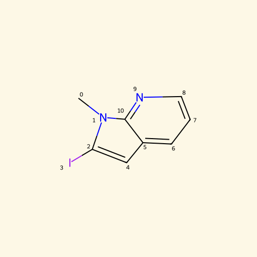 Cn1c(I)cc2cccnc21